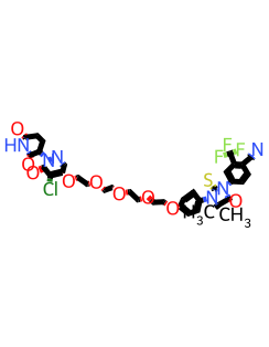 CC1(C)C(=O)N(c2ccc(C#N)c(C(F)(F)F)c2)C(=S)N1c1ccc(OCCOCCOCCOCCOc2cnn(C3CCC(=O)NC3=O)c(=O)c2Cl)cc1